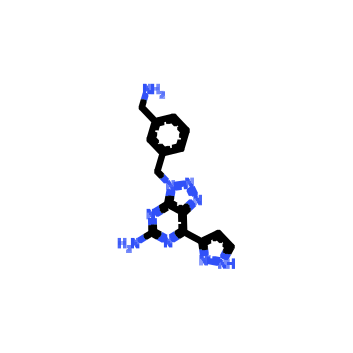 NCc1cccc(Cn2nnc3c(-c4cc[nH]n4)nc(N)nc32)c1